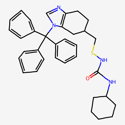 O=C(NSCC1CCc2ncn(C(c3ccccc3)(c3ccccc3)c3ccccc3)c2C1)NC1CCCCC1